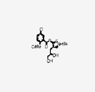 COc1ccc(Cl)cc1C(=O)N=c1sn(C(C)(C)C)cc1CC(O)CO